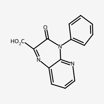 O=C(O)c1nc2cccnc2n(-c2ccccc2)c1=O